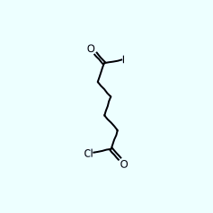 O=C(Cl)CCCCC(=O)I